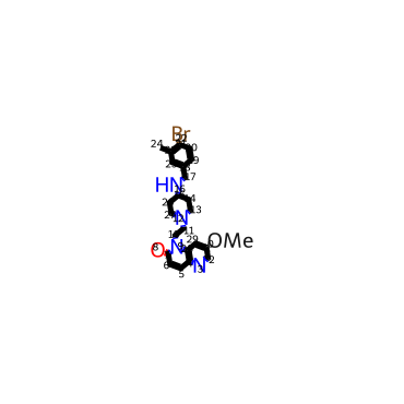 COc1cnc2ccc(=O)n(CCN3CCC(NCc4ccc(Br)c(C)c4)CC3)c2c1